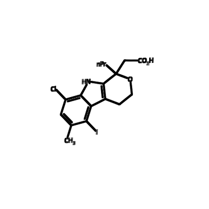 CCCC1(CC(=O)O)OCCc2c1[nH]c1c(Cl)cc(C)c(I)c21